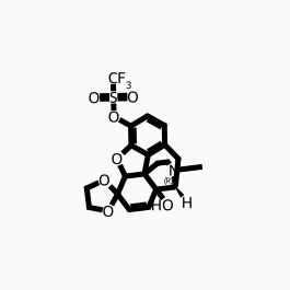 CN1CCC23c4c5ccc(OS(=O)(=O)C(F)(F)F)c4OC2C2(C=CC3(O)[C@H]1C5)OCCO2